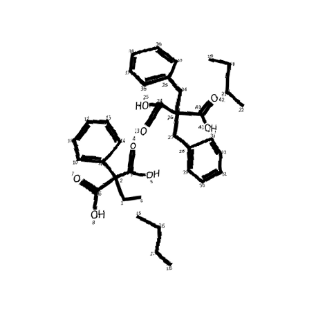 CCC(C(=O)O)(C(=O)O)c1ccccc1.CCCC.CCCC.O=C(O)C(Cc1ccccc1)(Cc1ccccc1)C(=O)O